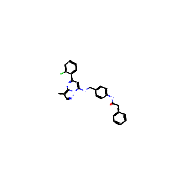 Cc1cnn2c(NCc3ccc(NC(=O)Cc4ccccc4)cc3)cc(-c3ccccc3Cl)nc12